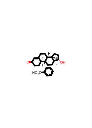 C[C@]12CC[C@H]3[C@@H](CCC4=CC(=O)CC[C@@]43C)[C@@H]1CC[C@@H]2O.O=C(O)c1ccccc1